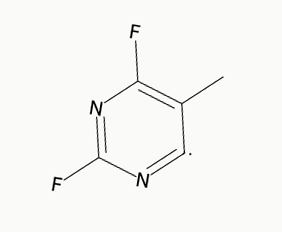 Cc1[c]nc(F)nc1F